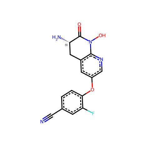 N#Cc1ccc(Oc2cnc3c(c2)C[C@H](N)C(=O)N3O)c(F)c1